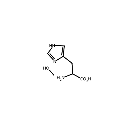 CO.NC(Cc1c[nH]cn1)C(=O)O